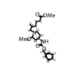 COC(=O)CCCC(C)CN1CC[C@@H](NC(=O)OCc2ccccc2)CC1OC